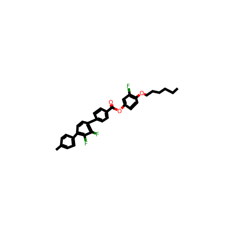 CCCCCCOc1ccc(OC(=O)c2ccc(-c3ccc(-c4ccc(C)cc4)c(F)c3F)cc2)cc1F